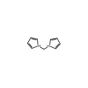 [CH]([SH]1C=CC=C1)[SH]1C=CC=C1